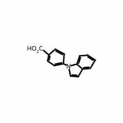 O=C(O)c1ccc(-n2ccc3cc[c]cc32)cc1